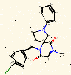 CC(C)N1CC(=O)N(Cc2ccc(Cl)cc2)[C@@]2(CCN(c3ccccc3)C2)C1=O